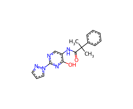 CC(C)(C(=O)Nc1cnc(-n2cccn2)nc1O)c1ccccc1